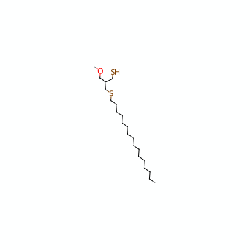 CCCCCCCCCCCCCCCCSCC(CS)COC